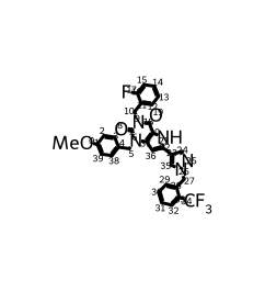 COc1ccc(Cn2c(=O)n(Cc3ccccc3F)c(=O)c3[nH]c(-c4cnn(Cc5ccccc5C(F)(F)F)c4)cc32)cc1